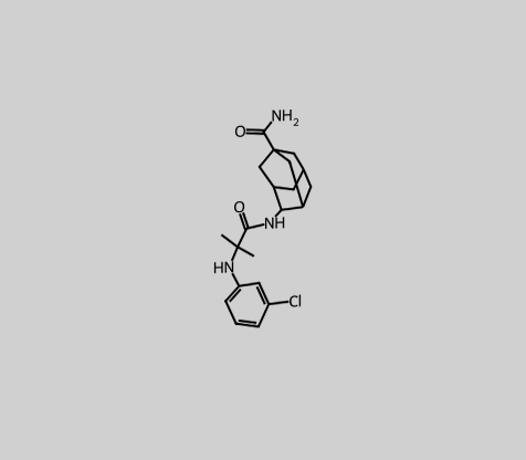 CC(C)(Nc1cccc(Cl)c1)C(=O)NC1C2CC3CC1CC(C(N)=O)(C3)C2